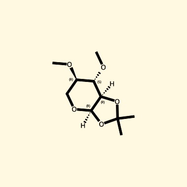 CO[C@@H]1[C@H]2OC(C)(C)O[C@H]2OC[C@H]1OC